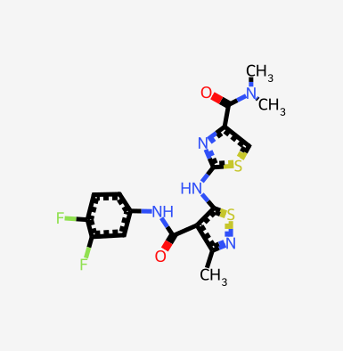 Cc1nsc(Nc2nc(C(=O)N(C)C)cs2)c1C(=O)Nc1ccc(F)c(F)c1